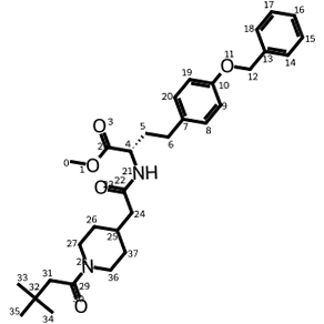 COC(=O)[C@H](CCc1ccc(OCc2ccccc2)cc1)NC(=O)CC1CCN(C(=O)CC(C)(C)C)CC1